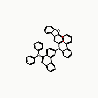 c1ccc(-c2ccccc2N(c2ccc3oc4ccccc4c3c2)c2ccc3c(N(c4ccccc4)c4ccccc4)cc4ccccc4c3c2)cc1